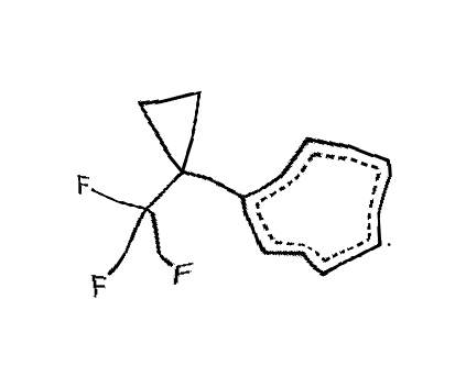 FC(F)(F)C1(c2cc[c]cc2)CC1